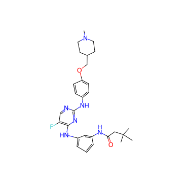 CN1CCC(COc2ccc(Nc3ncc(F)c(Nc4cccc(NC(=O)CC(C)(C)C)c4)n3)cc2)CC1